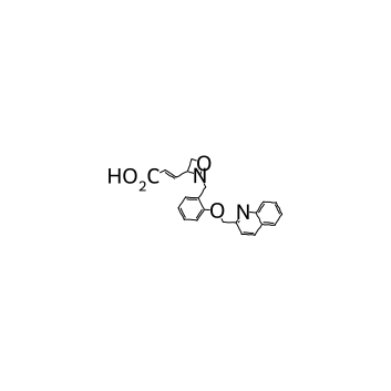 O=C(O)C=CC1CON1Cc1ccccc1OCc1ccc2ccccc2n1